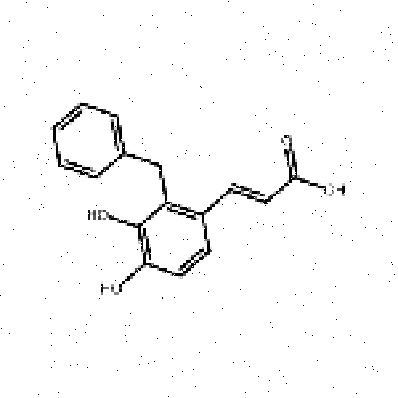 O=C(O)C=Cc1ccc(O)c(O)c1Cc1ccccc1